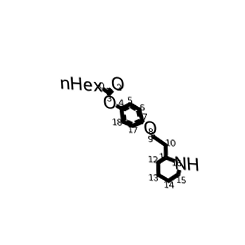 CCCCCCC(=O)Oc1ccc(OCCC2CCCCN2)cc1